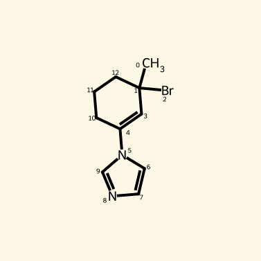 CC1(Br)C=C(n2ccnc2)CCC1